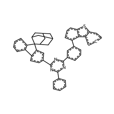 c1ccc(-c2nc(-c3cccc(-c4cccc5sc6ccccc6c45)c3)nc(-c3ccc4c(c3)C3(c5ccccc5-4)C4CC5CC(C4)CC3C5)n2)cc1